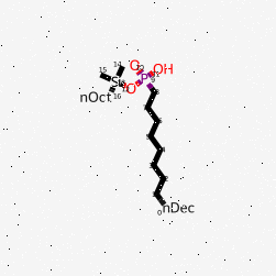 CCCCCCCCCCCCCCCCCCP(=O)(O)O[Si](C)(C)CCCCCCCC